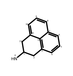 [NH]C1Cc2cccc3cccc(c23)C1